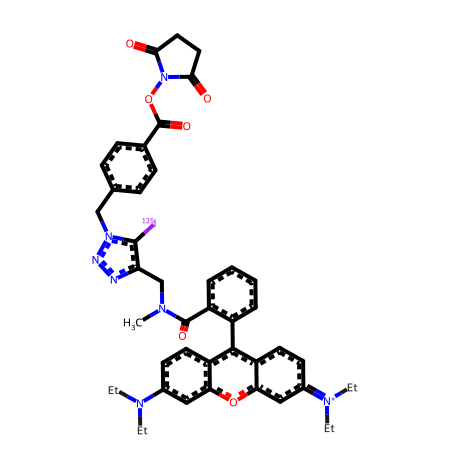 CCN(CC)c1ccc2c(-c3ccccc3C(=O)N(C)Cc3nnn(Cc4ccc(C(=O)ON5C(=O)CCC5=O)cc4)c3[125I])c3ccc(=[N+](CC)CC)cc-3oc2c1